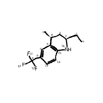 CC[C@@H]1C[C@H](C)c2cc(C(F)(F)F)ccc2N1